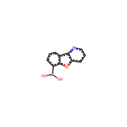 OB(O)c1cccc2c1oc1cccnc12